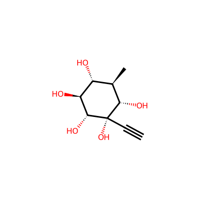 C#C[C@@]1(O)[C@H](O)[C@@H](O)[C@H](O)[C@@H](C)[C@@H]1O